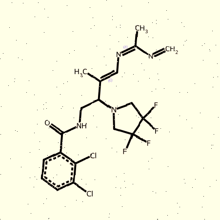 C=N/C(C)=N\C=C(/C)C(CNC(=O)c1cccc(Cl)c1Cl)N1CC(F)(F)C(F)(F)C1